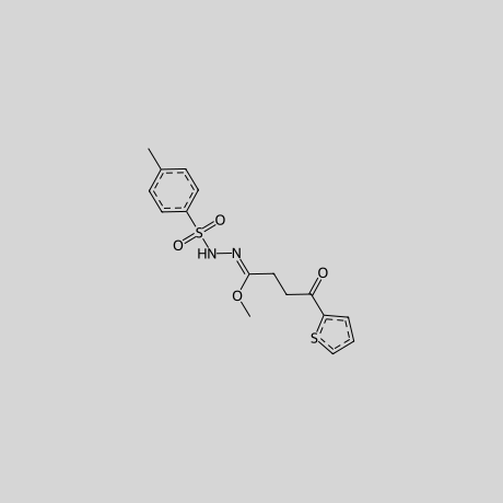 COC(CCC(=O)c1cccs1)=NNS(=O)(=O)c1ccc(C)cc1